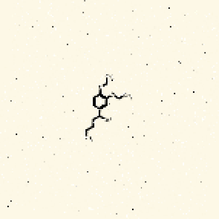 CCCCC(O)c1ccc(OCC)c(OCC)c1